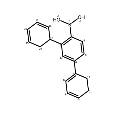 OB(O)c1ccc(C2=CC=CCC2)cc1C1C=CC=CC1